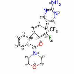 Nc1ncc(C2(C(F)(F)F)C=CC(c3ccccc3C(=O)N3CCOCC3)C=C2F)cn1